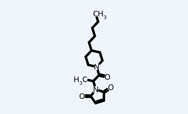 CCCCCC1CCN(C(=O)C(C)N2C(=O)C=CC2=O)CC1